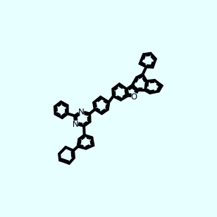 C1=CCCC(c2cccc(-c3cc(-c4ccc(-c5ccc6c(c5)oc5c7ccccc7c(-c7ccccc7)cc65)cc4)nc(-c4ccccc4)n3)c2)=C1